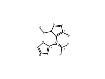 CCC1C=CC(C)=[C]1[Zr]([C]1=CC=CC1)=[C](C)C